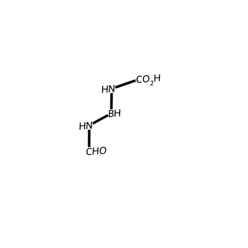 O=CNBNC(=O)O